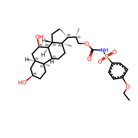 CCOc1ccc(S(=O)(=O)NC(=O)OC[C@@H](C)[C@H]2CC[C@H]3[C@@H]4[C@H](O)C[C@@H]5C[C@H](O)CC[C@]5(C)[C@H]4CC[C@]23C)cc1